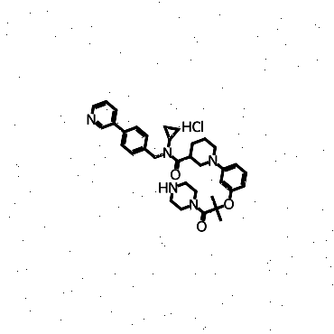 CC(C)(Oc1cccc(N2CCCC(C(=O)N(Cc3ccc(-c4cccnc4)cc3)C3CC3)C2)c1)C(=O)N1CCNCC1.Cl